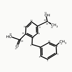 Cc1cccc(Cc2cc([C@H](C)O)ccc2C(=O)O)c1